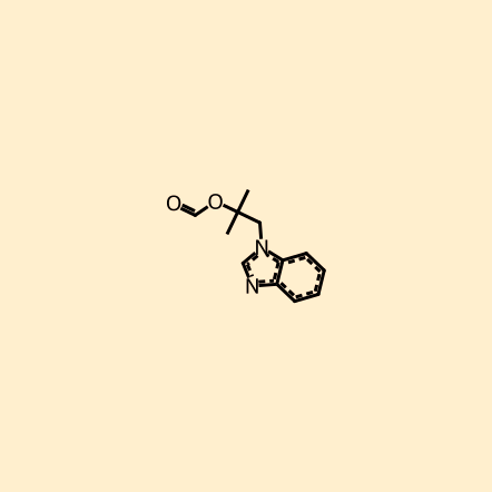 CC(C)(Cn1cnc2ccccc21)OC=O